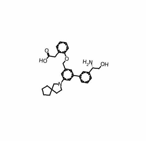 N[C@H](CO)c1cccc(-c2cc(COc3ccccc3CC(=O)O)cc(N3CCC4(CCCC4)C3)c2)c1